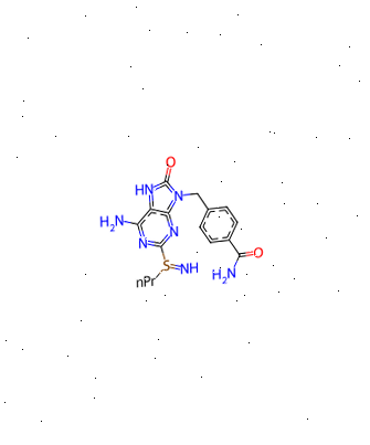 CCCS(=N)c1nc(N)c2[nH]c(=O)n(Cc3ccc(C(N)=O)cc3)c2n1